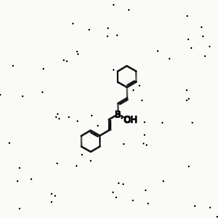 OB(C=CC1=CCCCC1)C=CC1=CCCCC1